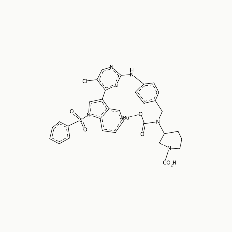 CC(C)(C)OC(=O)N(Cc1ccc(Nc2ncc(Cl)c(-c3cn(S(=O)(=O)c4ccccc4)c4ccccc34)n2)cc1)C1CCCN(C(=O)O)C1